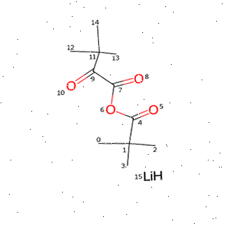 CC(C)(C)C(=O)OC(=O)C(=O)C(C)(C)C.[LiH]